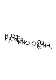 CC(C)(CN1CCC(CNc2ccc(-c3ccc(C(=O)N4CCC[C@H]4C(N)=O)cc3)cc2)CC1)C(F)(F)F